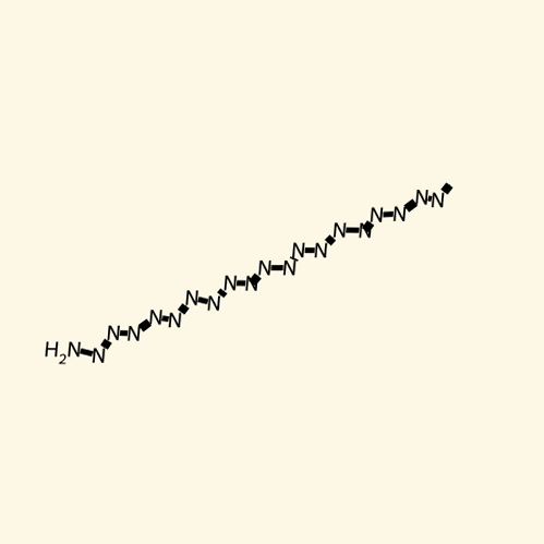 C=NN=NN=NN=NN=NN=NN=NN=NN=NN=NN